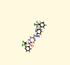 O=S(=O)(c1ccccc1C(F)(F)F)N1CCC(CNc2ccc(-c3ccccc3C(F)(F)F)cn2)CC1